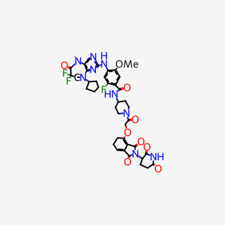 COc1cc(C(=O)NC2CCN(C(=O)COC3=C4C(=O)N(C5CCC(=O)NC5=O)C(=O)C4=CCC3)CC2)c(F)cc1Nc1ncc2c(n1)N(C1CCCC1)CC(F)(F)C(=O)N2C